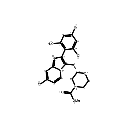 COC(=O)N1CCO[C@@H](Cc2c(-c3c(C)cc(Br)cc3Cl)nc3cc(Cl)ccn23)C1